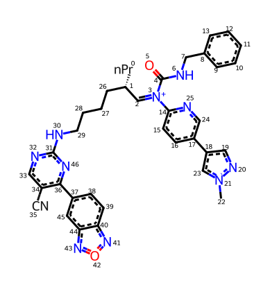 CCC[C@H](/C=[N+](\C(=O)NCc1ccccc1)c1ccc(-c2cnn(C)c2)cn1)CCCCNc1ncc(C#N)c(-c2ccc3nonc3c2)n1